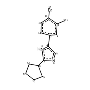 Fc1cc(-c2cnc(C3CCCC3)[nH]2)ccc1Br